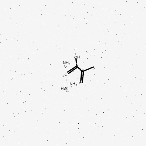 Br.C=C(C)C(=O)O.N.N